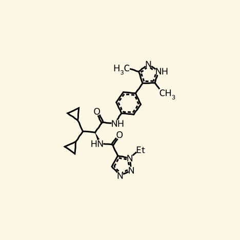 CCn1nncc1C(=O)N[C@H](C(=O)Nc1ccc(-c2c(C)n[nH]c2C)cc1)C(C1CC1)C1CC1